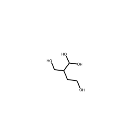 OCCC(CO)C(O)O